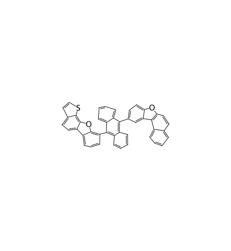 c1ccc2c(c1)ccc1oc3ccc(-c4c5ccccc5c(-c5cccc6c5oc5c6ccc6ccsc65)c5ccccc45)cc3c12